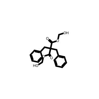 O=C(OCO)C(Cc1ccccc1)(Cc1ccccc1)C(=O)OCO